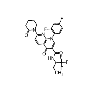 CC[C@@H](NC(=O)c1cn(-c2ccc(F)cc2F)c2nc(N3CCCCC3=O)ccc2c1=O)C(F)(F)F